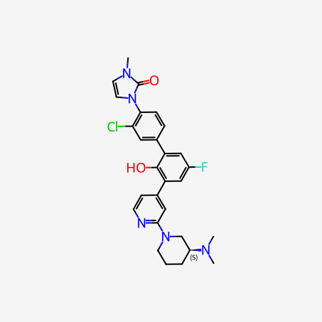 CN(C)[C@H]1CCCN(c2cc(-c3cc(F)cc(-c4ccc(-n5ccn(C)c5=O)c(Cl)c4)c3O)ccn2)C1